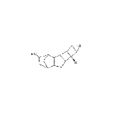 OC1CC2CC1C1C2CC2C1C1C3OC3[C@H]21